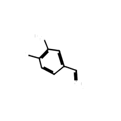 C=[C]c1ccc(F)c(C)c1